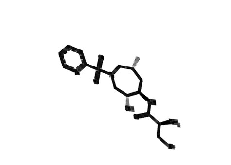 CC(C)C[C@H](N)C(=O)N[C@@H]1C[C@@H](C)CN(S(=O)(=O)c2ccccn2)C[C@H]1O